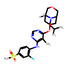 Cc1c(Nc2ccc(S(C)(=O)=O)cc2F)ncnc1OC1CC2COC[C@@H](C1)N2CC(C)C(F)(F)F